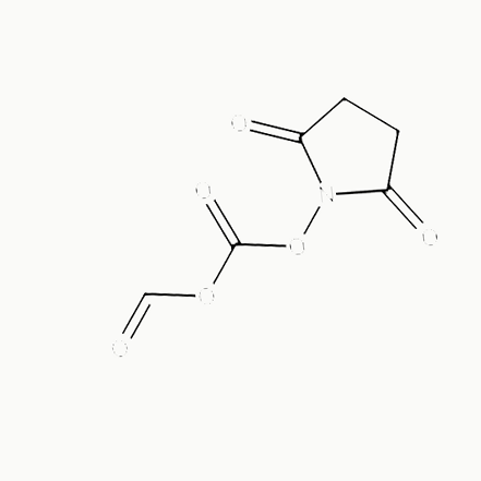 O=COC(=O)ON1C(=O)CCC1=O